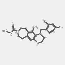 Cc1c2c(cc3c1N(Cc1ccc(F)cc1F)CCO3)CCN(C(=O)OC(C)(C)C)CC2